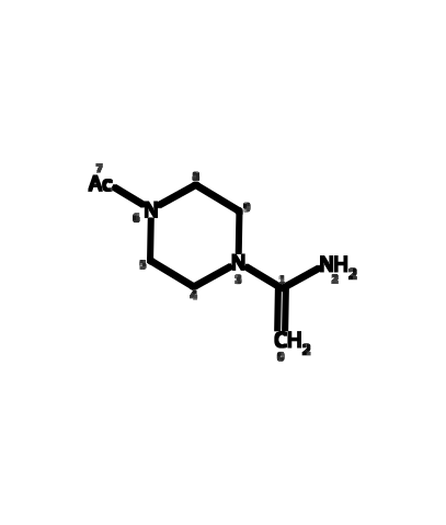 C=C(N)N1CCN(C(C)=O)CC1